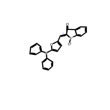 O=C1/C(=C/c2ccc(N(c3ccccc3)c3ccccc3)o2)[S+]([O-])c2ccccc21